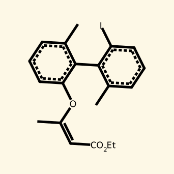 CCOC(=O)/C=C(/C)Oc1cccc(C)c1-c1c(C)cccc1I